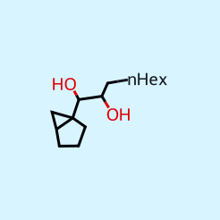 CCCCCCCC(O)C(O)C12CCCC1C2